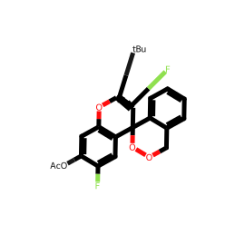 CC(=O)Oc1cc2c(cc1F)C1(OOCc3ccccc31)c1cc(F)c(C(C)(C)C)cc1O2